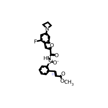 COC(=O)/C=C/c1ccccc1[S+]([O-])NC(=O)c1cc2c(F)cc(N3CCC3)cc2o1